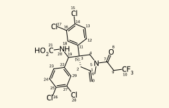 C=CC[C@@](CN(C)C(=O)CC(F)(F)F)(c1ccc(Cl)c(Cl)c1)C(NC(=O)O)c1ccc(Cl)c(Cl)c1